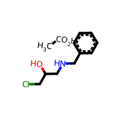 CC(=O)O.OC(CCl)CNCc1ccccc1